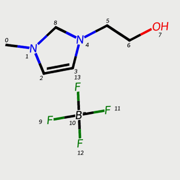 CN1C=CN(CCO)C1.F[B-](F)(F)F